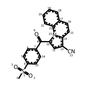 CS(=O)(=O)c1ccc(C(=O)c2cc(C#N)c3ccc4ccccc4n23)cc1